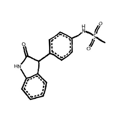 CS(=O)(=O)Nc1ccc(C2C(=O)Nc3ccccc32)cc1